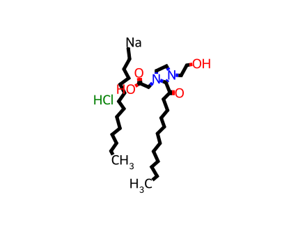 CCCCCCCCCCCC(=O)C1N(CCO)CCN1CC(=O)O.CCCCCCCCCCCCC[CH2][Na].Cl